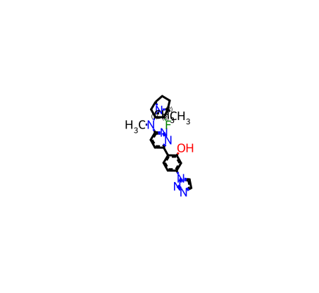 CN(c1ccc(-c2ccc(-n3ccnn3)cc2O)nn1)[C@H]1CC2CC[C@](C)([C@@H]1F)N2C